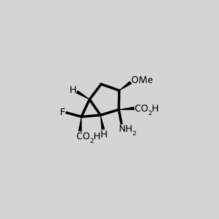 CO[C@@H]1C[C@@H]2[C@H]([C@]1(N)C(=O)O)[C@@]2(F)C(=O)O